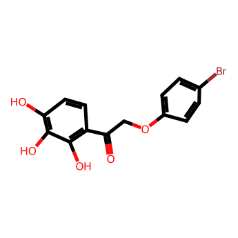 O=C(COc1ccc(Br)cc1)c1ccc(O)c(O)c1O